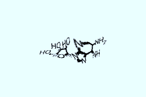 N=C1c2ncn([C@@H]3O[C@H](CO)[C@H](O)C3O)c2N=CC1N